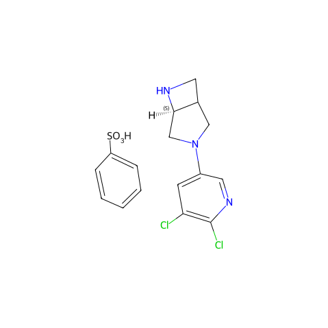 Clc1cc(N2CC3CN[C@@H]3C2)cnc1Cl.O=S(=O)(O)c1ccccc1